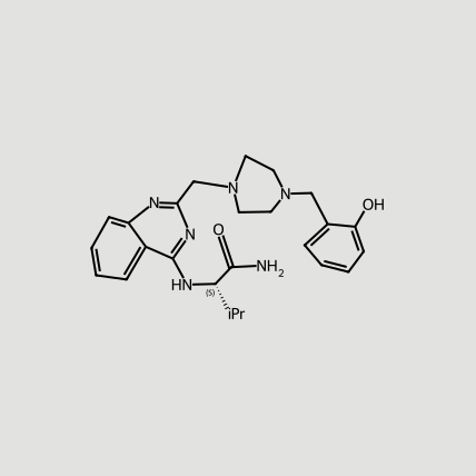 CC(C)[C@H](Nc1nc(CN2CCN(Cc3ccccc3O)CC2)nc2ccccc12)C(N)=O